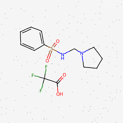 O=C(O)C(F)(F)F.O=S(=O)(NCN1CCCC1)c1ccccc1